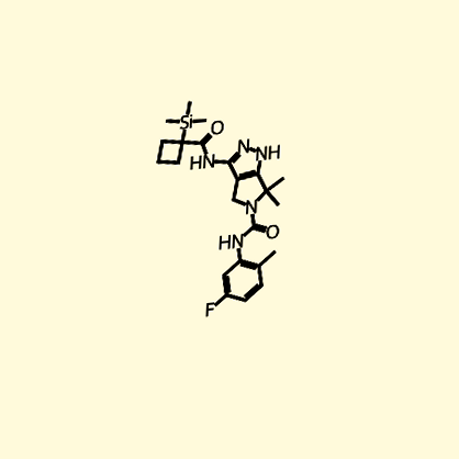 Cc1ccc(F)cc1NC(=O)N1Cc2c(NC(=O)C3([Si](C)(C)C)CCC3)n[nH]c2C1(C)C